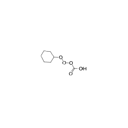 O=C(O)OOOC1CCCCC1